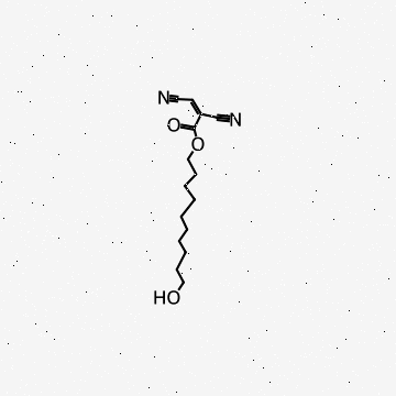 N#CC=C(C#N)C(=O)OCCCCCCCCCCO